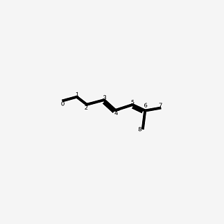 CCC/C=[C]/C=C(C)C